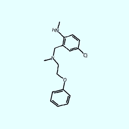 CNc1ccc(Cl)cc1CN(C)CCOc1ccccc1